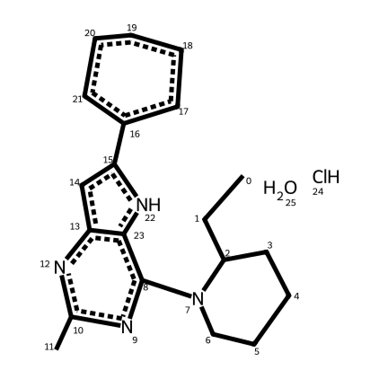 CCC1CCCCN1c1nc(C)nc2cc(-c3ccccc3)[nH]c12.Cl.O